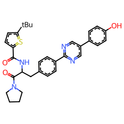 CC(C)(C)c1ccc(C(=O)NC(Cc2ccc(-c3ncc(-c4ccc(O)cc4)cn3)cc2)C(=O)N2CCCC2)s1